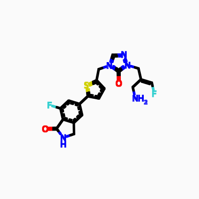 NC/C(=C\F)Cn1ncn(Cc2ccc(-c3cc(F)c4c(c3)CNC4=O)s2)c1=O